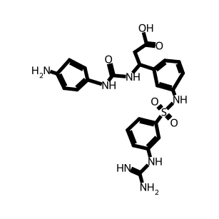 N=C(N)Nc1cccc(S(=O)(=O)Nc2cccc(C(CC(=O)O)NC(=O)Nc3ccc(N)cc3)c2)c1